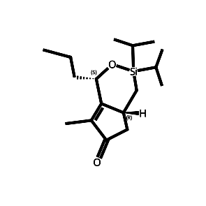 CCC[C@@H]1O[Si](C(C)C)(C(C)C)C[C@@H]2CC(=O)C(C)=C21